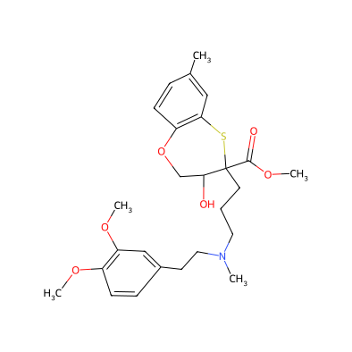 COC(=O)C1(CCCN(C)CCc2ccc(OC)c(OC)c2)Sc2cc(C)ccc2OCC1O